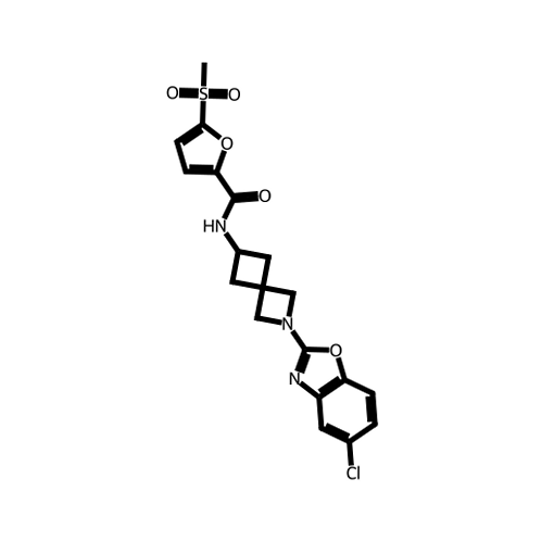 CS(=O)(=O)c1ccc(C(=O)NC2CC3(C2)CN(c2nc4cc(Cl)ccc4o2)C3)o1